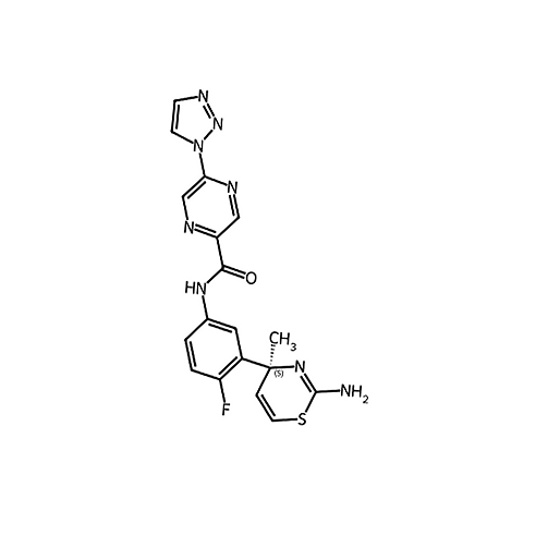 C[C@@]1(c2cc(NC(=O)c3cnc(-n4ccnn4)cn3)ccc2F)C=CSC(N)=N1